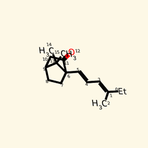 CCC(C)=CC=CC12CCC(CC1=O)C2(C)C